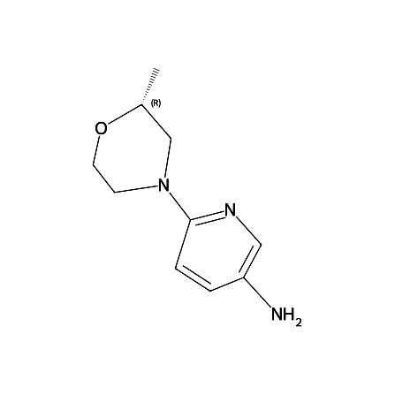 C[C@@H]1CN(c2ccc(N)cn2)CCO1